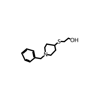 OCCSC1CCN(Cc2ccccc2)CC1